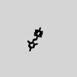 Cc1cc(C)c(/C=C/c2nnc(C)nn2)c(C)c1